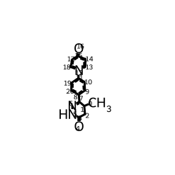 CC1CC(=O)NN=C1c1ccc(-n2ccc(=O)cc2)cc1